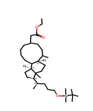 CCOC(=O)CC1CCCCC2[C@H](CCC3(C)[C@@H]([C@H](C)CCCO[Si](C)(C)C(C)(C)C)CC[C@@H]23)C(C)CC1